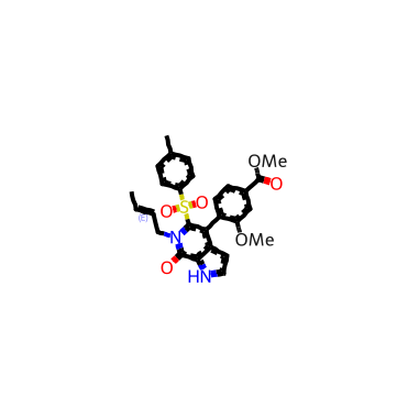 C/C=C/Cn1c(S(=O)(=O)c2ccc(C)cc2)c(-c2ccc(C(=O)OC)cc2OC)c2cc[nH]c2c1=O